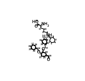 NC1CCCCC1.NCCCC[C@H](N)C(=O)O.O=Cc1ccc(OCc2ccccc2)c(OCc2ccccc2)c1